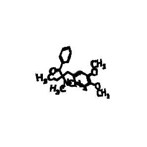 CCC(Cc1ccc(OC)c(OC)c1)(C(=O)c1ccccc1)N(C)C